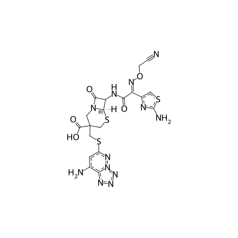 N#CCON=C(C(=O)NC1C(=O)N2CC(CSc3cc(N)c4nnnn4n3)(C(=O)O)CS[C@H]12)c1csc(N)n1